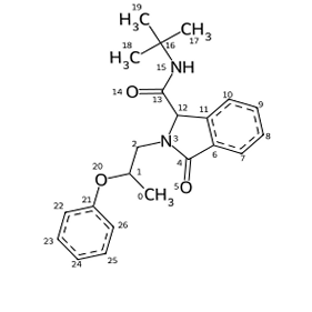 CC(CN1C(=O)c2ccccc2C1C(=O)NC(C)(C)C)Oc1ccccc1